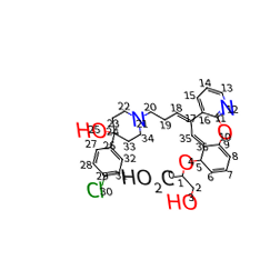 O=C(O)C(CO)OC1C=CC=C2Oc3ncccc3C(=CCCN3CCC(O)(c4ccc(Cl)cc4)CC3)C=C21